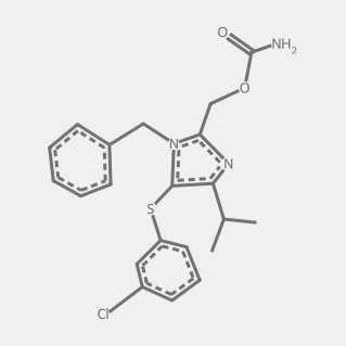 CC(C)c1nc(COC(N)=O)n(Cc2ccccc2)c1Sc1cccc(Cl)c1